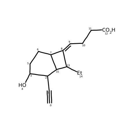 C#CC1C(O)CCC2C(=CCCC(=O)O)C(CC)C21